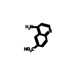 Nc1ccnc2ccc(C(=O)O)cc12